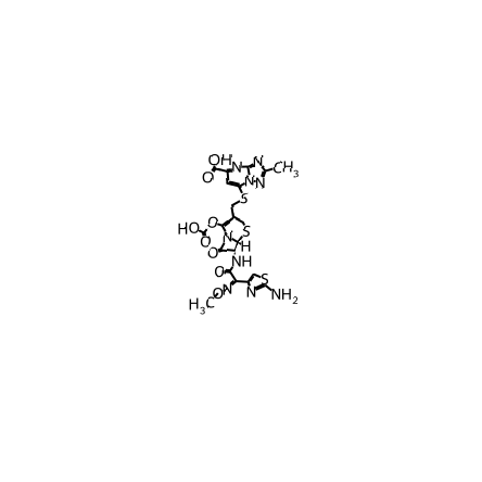 CO/N=C(\C(=O)N[C@@H]1C(=O)N2C(OC(=O)O)=C(CSc3cc(C(=O)O)nc4nc(C)nn34)CS[C@H]12)c1csc(N)n1